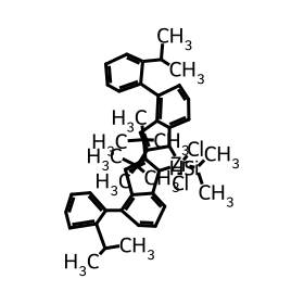 CC(C)c1ccccc1-c1cccc2c1C=C(C(C)(C)C)[CH]2[Zr]([Cl])([Cl])([CH]1C(C(C)(C)C)=Cc2c(-c3ccccc3C(C)C)cccc21)[SiH](C)C